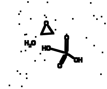 C1CO1.O.O=S(=O)(O)O